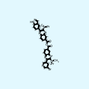 CC(C)N(C)c1nc2cc(C(=O)OC(=O)c3ccc4nc(-c5ccc6[nH]ncc6c5)c(N(C)C(C)C)nc4c3)ccc2nc1-c1cncc(Br)c1